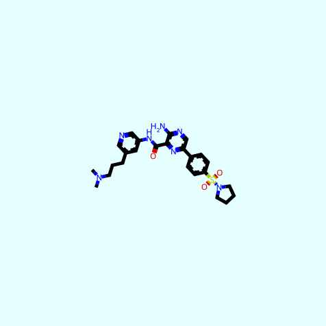 CN(C)CCCc1cncc(NC(=O)c2nc(-c3ccc(S(=O)(=O)N4CCCC4)cc3)cnc2N)c1